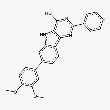 COc1ccc(-c2ccc3c(c2)[nH]c2c(O)nc(-c4ccncc4)nc23)cc1OC